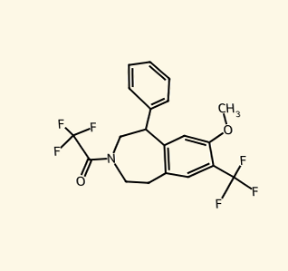 COc1cc2c(cc1C(F)(F)F)CCN(C(=O)C(F)(F)F)CC2c1ccccc1